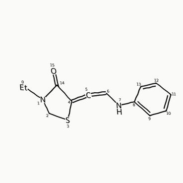 CCN1CSC(=C=CNc2ccccc2)C1=O